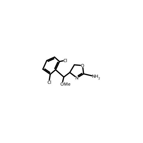 COC(c1c(Cl)cccc1Cl)C1COC(N)=N1